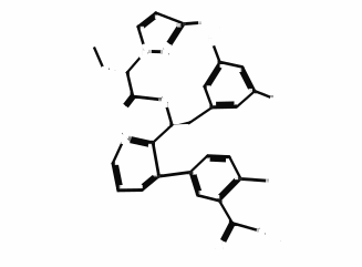 CC(C)C[C@@H](C(=O)N[C@@H](Cc1cc(F)cc(F)c1)c1ncccc1-c1ccc(F)c(C(N)=O)c1)n1ccc(C(F)(F)F)n1